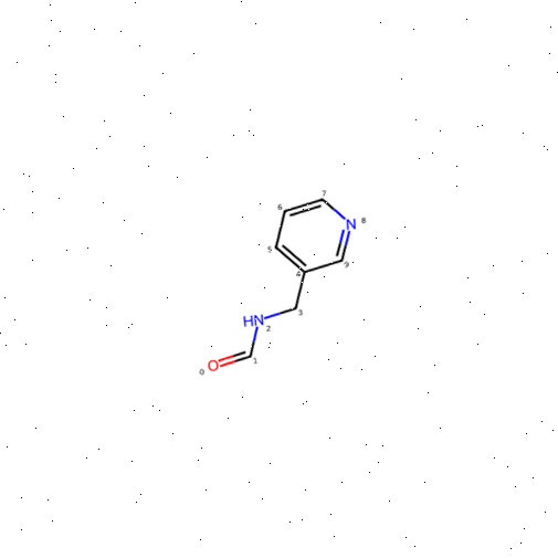 O=CNCc1cccnc1